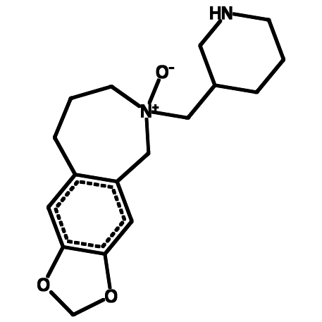 [O-][N+]1(CC2CCCNC2)CCCc2cc3c(cc2C1)OCO3